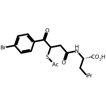 CC(=O)SC(CC(=O)N[C@@H](CC(C)C)C(=O)O)C(=O)c1ccc(Br)cc1